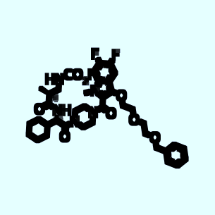 C[C@@H](CNC(=O)O)C(=O)N[C@H](C(=O)N1CCN(C(=O)c2c(OCCOCCOCc3ccccc3)c3cc(F)c(F)cc3n2C)CC1)C1CCCCC1